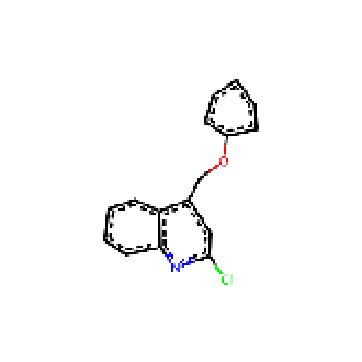 Clc1cc(COc2cc[c]cc2)c2ccccc2n1